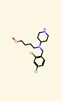 COCCCCN(Cc1ccc(Cl)cc1Cl)C1CCNCC1